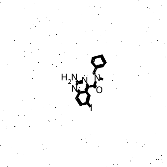 CN(Cc1ccccc1)C(=O)c1nc(N)nc2ccc(I)cc12